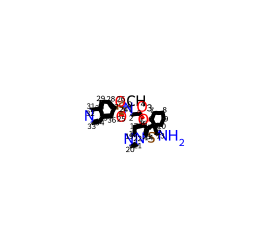 CN(CC(=O)OC1CCCCC1(C(N)=S)c1ccc2nccn2c1)S(=O)(=O)c1ccc2cnccc2c1